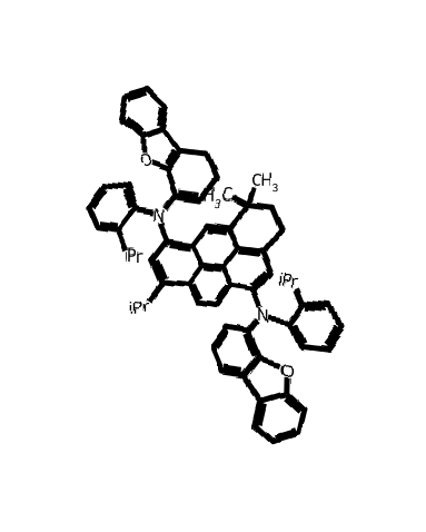 CC(C)c1ccccc1N(C1=CCCc2c1oc1ccccc21)c1cc(C(C)C)c2ccc3c(N(c4ccccc4C(C)C)c4cccc5c4oc4ccccc45)cc4c5c(cc1c2c35)C(C)(C)CC4